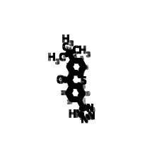 CC(C)(C)c1ccc2sc3cc(-c4nnn[nH]4)ccc3c(=O)c2c1